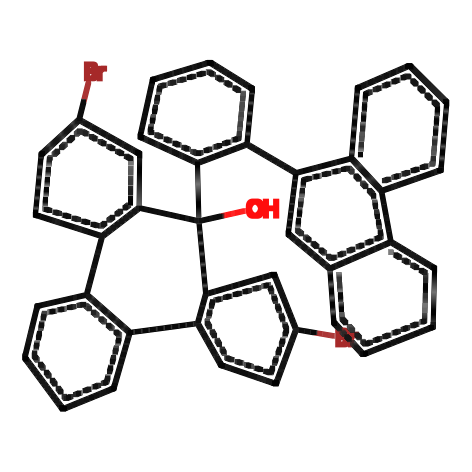 OC1(c2ccccc2-c2cc3ccccc3c3ccccc23)c2cc(Br)ccc2-c2ccccc2-c2ccc(Br)cc21